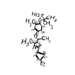 CCc1ccc(-c2nc(C)c(C(C)Oc3ccc(OC(C)(C)C(=O)O)c(C)c3)s2)cc1